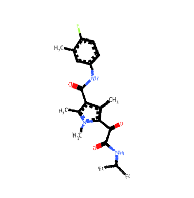 CCC(CC)NC(=O)C(=O)c1c(C)c(C(=O)Nc2ccc(F)c(C)c2)c(C)n1C